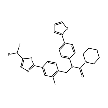 O=C(N1CCSCC1)N(Cc1ccc(-c2nnc(C(F)F)o2)cc1F)c1ccc(-c2ccco2)cc1